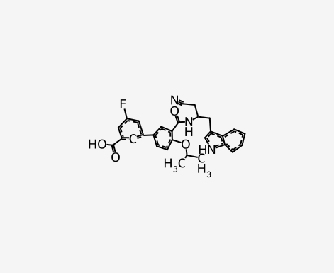 CC(C)Oc1ccc(-c2cc(F)cc(C(=O)O)c2)cc1C(=O)NC(CC#N)Cc1c[nH]c2ccccc12